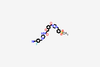 CS(=O)(=O)c1cccc(CN2CCN(C(=O)c3ccc4oc(C(=O)NC5CCN(Cc6ccc(C#N)c(F)c6)CC5)cc4c3)CC2)c1